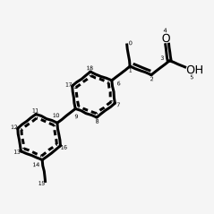 C/C(=C\C(=O)O)c1ccc(-c2cccc(C)c2)cc1